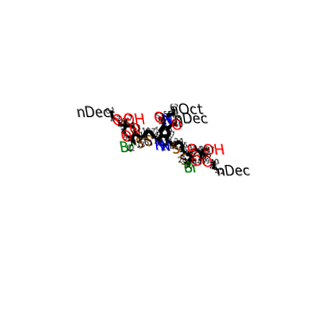 CCCCCCCCCCCCOCC1(CO)COc2c(Br)sc(-c3ccc(-c4nnc(-c5ccc(-c6sc(Br)c7c6OCC(CO)(COCCCCCCCCCCCC)CO7)s5)c5cc6c(cc45)C(=O)N(CC(CCCCCCCC)CCCCCCCCCC)C6=O)s3)c2OC1